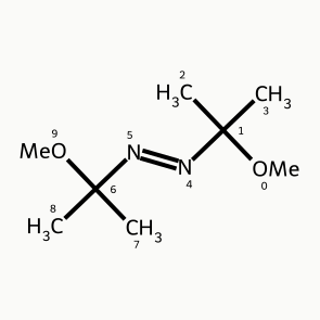 COC(C)(C)N=NC(C)(C)OC